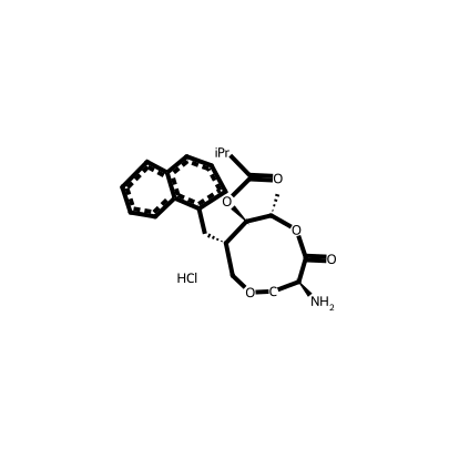 CC(C)C(=O)O[C@@H]1[C@@H](Cc2cccc3ccccc23)COC[C@H](N)C(=O)O[C@H]1C.Cl